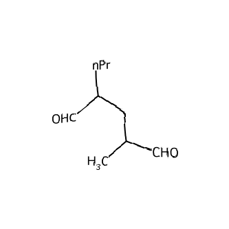 CCCC(C=O)CC(C)C=O